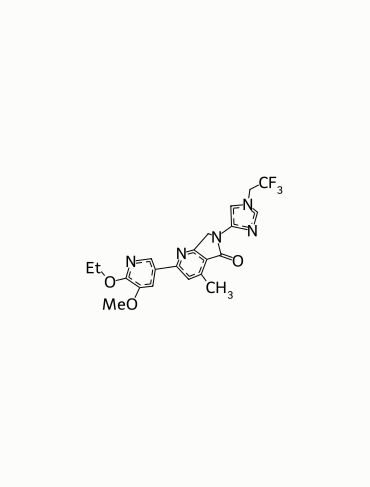 CCOc1ncc(-c2cc(C)c3c(n2)CN(c2cn(CC(F)(F)F)cn2)C3=O)cc1OC